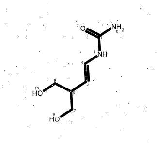 NC(=O)NC=CC(CO)CO